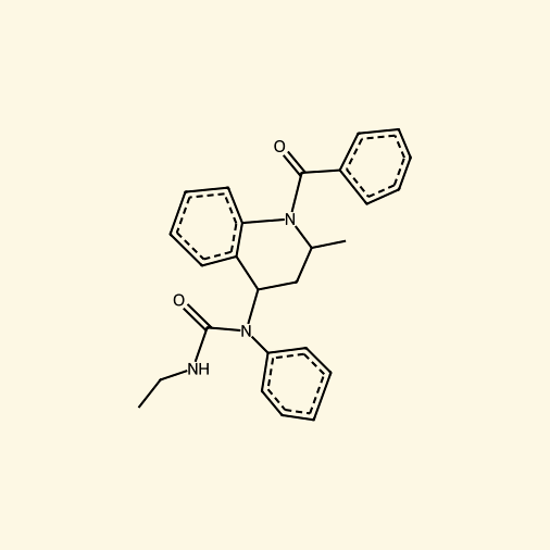 CCNC(=O)N(c1ccccc1)C1CC(C)N(C(=O)c2ccccc2)c2ccccc21